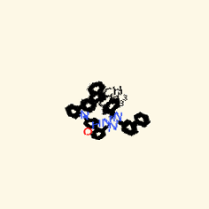 CC1(C)C2=CC=CCC2c2cc3c4ccccc4n(-c4ccc5c(c4)oc4cccc(C6N=C(c7cccc(-c8ccccc8)c7)N=C(c7ccccc7)N6)c45)c3cc21